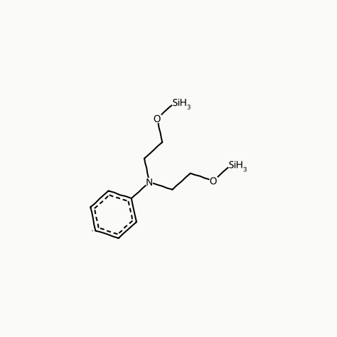 [SiH3]OCCN(CCO[SiH3])c1cc[c]cc1